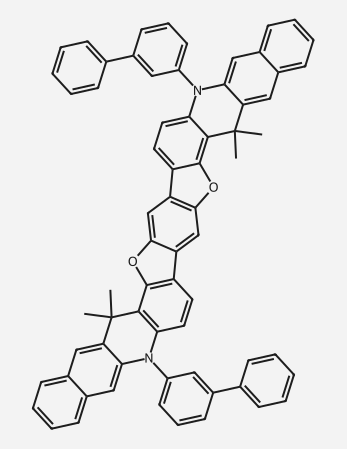 CC1(C)c2cc3ccccc3cc2N(c2cccc(-c3ccccc3)c2)c2ccc3c(oc4cc5c(cc43)oc3c4c(ccc35)N(c3cccc(-c5ccccc5)c3)c3cc5ccccc5cc3C4(C)C)c21